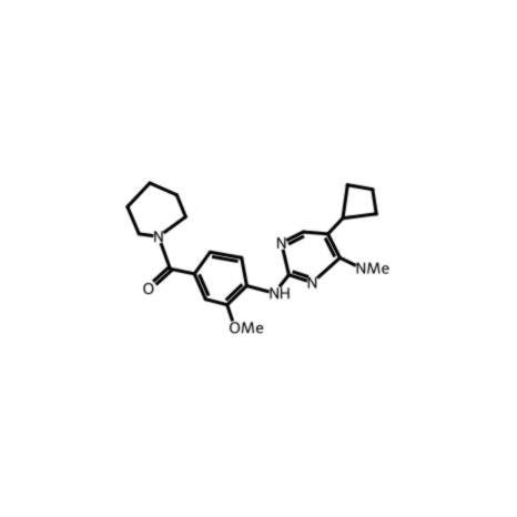 CNc1nc(Nc2ccc(C(=O)N3CCCCC3)cc2OC)ncc1C1CCC1